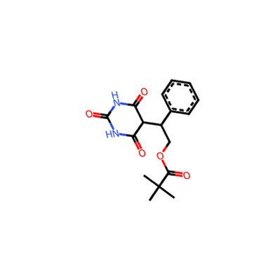 CC(C)(C)C(=O)OCC(c1ccccc1)C1C(=O)NC(=O)NC1=O